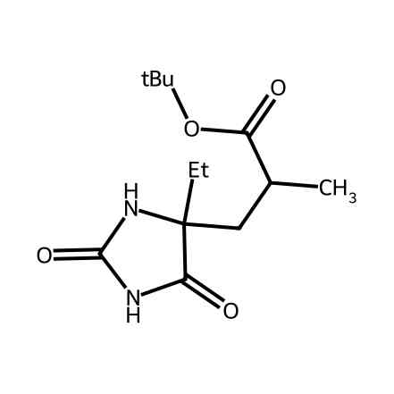 CCC1(CC(C)C(=O)OC(C)(C)C)NC(=O)NC1=O